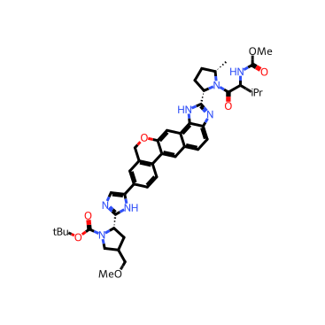 COCC1C[C@@H](c2ncc(-c3ccc4c(c3)COc3cc5c(ccc6nc([C@@H]7CC[C@H](C)N7C(=O)C(NC(=O)OC)C(C)C)[nH]c65)cc3-4)[nH]2)N(C(=O)OC(C)(C)C)C1